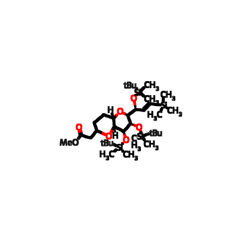 COC(=O)CC1CC[C@@H]2O[C@@H]([C@H](/C=C/[Si](C)(C)C)O[Si](C)(C)C(C)(C)C)[C@@H](O[Si](C)(C)C(C)(C)C)[C@@H](O[Si](C)(C)C(C)(C)C)[C@H]2O1